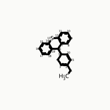 CCC1=CCC(C2c3ccccc3Sc3ccccc32)C=C1